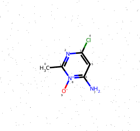 Cc1nc(Cl)cc(N)[n+]1[O-]